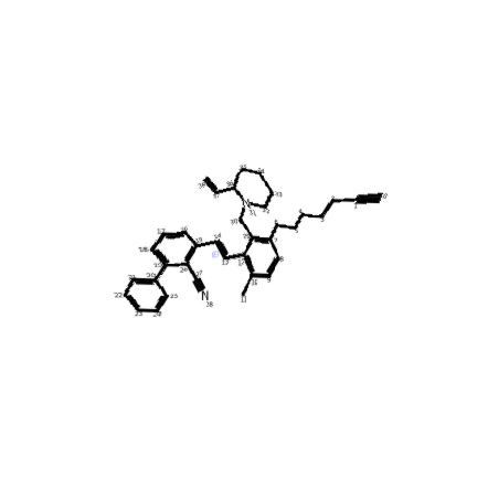 C#CCCCCCc1ccc(C)c(/C=C/c2cccc(-c3ccccc3)c2C#N)c1CN1CCCCC1C=C